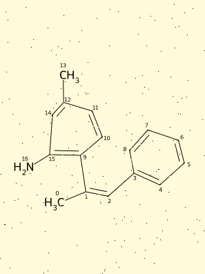 CC(=Cc1ccccc1)c1ccc(C)cc1N